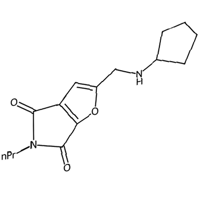 CCCN1C(=O)c2cc(CNC3CCCC3)oc2C1=O